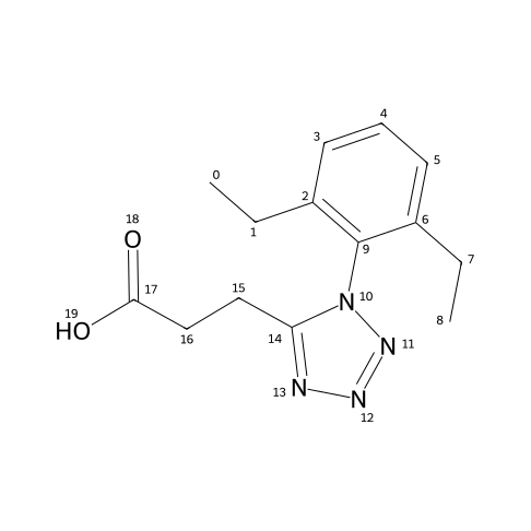 CCc1cccc(CC)c1-n1nnnc1CCC(=O)O